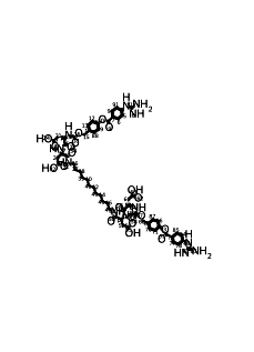 N=C(N)Nc1ccc(C(=O)Oc2ccc(COC(=O)N[C@@H](CC(=O)O)C(=O)NC(CC(=O)O)C(=O)NCCCCCCCCCCCCNC(=O)[C@H](CC(=O)O)NC(=O)[C@H](CC(=O)O)NC(=O)OCc3ccc(OC(=O)c4ccc(NC(=N)N)cc4)cc3)cc2)cc1